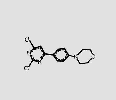 Clc1cc(-c2ccc(N3CCOCC3)cc2)nc(Cl)n1